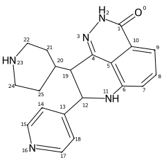 O=c1[nH]nc2c3c(cccc13)NC(c1ccncc1)C2C1CCNCC1